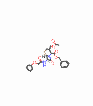 CC(=O)OCC1=C(C(=O)OCc2ccccc2)N2C(=O)[C@@H](NC(=O)COc3ccccc3)[C@H]2SC1